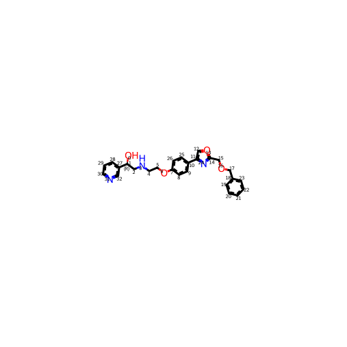 O[C@@H](CNCCOc1ccc(-c2coc(COCc3ccccc3)n2)cc1)c1cccnc1